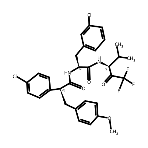 COc1ccc(C[C@H](C(=O)N[C@@H](Cc2cccc(Cl)c2)C(=O)N[C@H](C(=O)C(F)(F)F)C(C)C)c2ccc(Cl)cc2)cc1